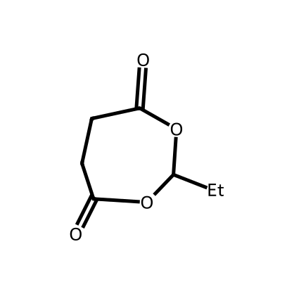 CCC1OC(=O)CCC(=O)O1